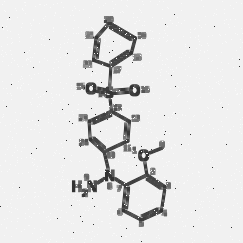 COc1ccccc1N(N)c1ccc(S(=O)(=O)c2ccccc2)cc1